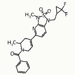 CC1CC(c2ccc3c(n2)N(C)S(=O)(=O)N3CC2CC2(F)F)=CCN1C(=O)c1ccccc1